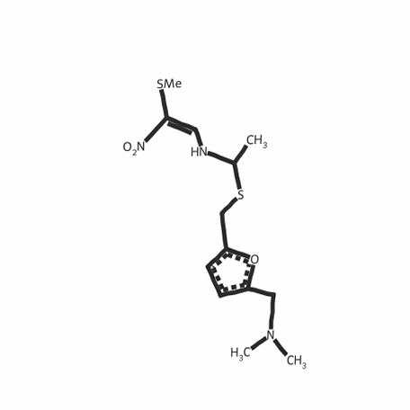 CSC(=CNC(C)SCc1ccc(CN(C)C)o1)[N+](=O)[O-]